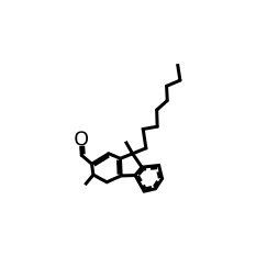 CCCCCCCCC1(C)C2=C(CC(C)C(C=O)=C2)c2ccccc21